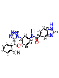 N#Cc1ccccc1COc1ccc(NC(=O)c2ccc3[nH]cnc3c2)cc1-n1cnnn1